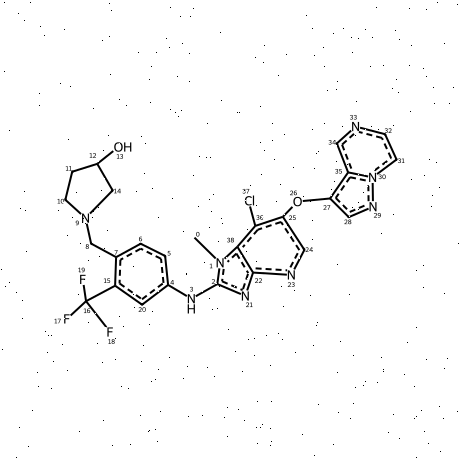 Cn1c(Nc2ccc(CN3CCC(O)C3)c(C(F)(F)F)c2)nc2ncc(Oc3cnn4ccncc34)c(Cl)c21